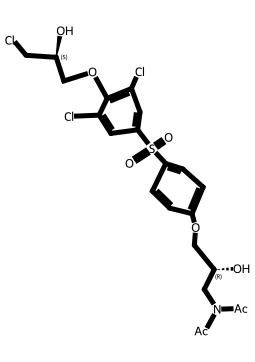 CC(=O)N(C[C@@H](O)COc1ccc(S(=O)(=O)c2cc(Cl)c(OC[C@H](O)CCl)c(Cl)c2)cc1)C(C)=O